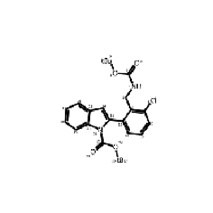 CC(C)(C)OC(=O)NCc1c(Cl)cccc1-c1cc2ccccc2n1C(=O)OC(C)(C)C